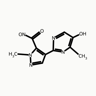 Cc1nc(-c2cnn(C)c2C(=O)N=O)ncc1O